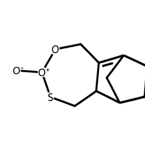 [O-][O+]1OCC2=C3CCC(C3)C2CS1